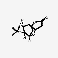 CC1(C)O[C@H]2[C@H]3CC4(C[C@H]2O1)OC(=O)CC4O3